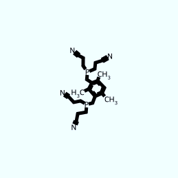 Cc1cc(C)c(CP(CCC#N)CCC#N)c(C)c1CP(CCC#N)CCC#N